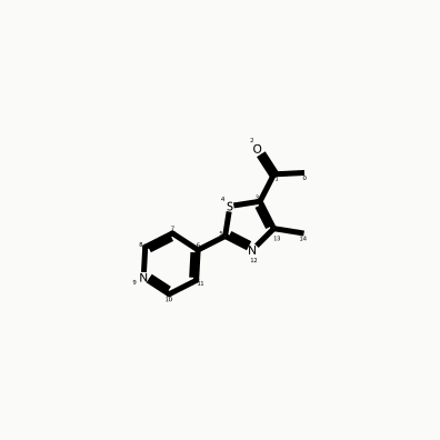 CC(=O)c1sc(-c2ccncc2)nc1C